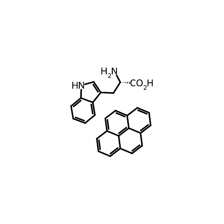 N[C@@H](Cc1c[nH]c2ccccc12)C(=O)O.c1cc2ccc3cccc4ccc(c1)c2c34